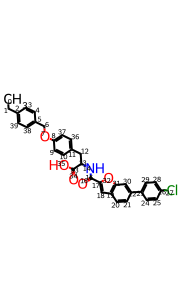 CCc1ccc(COc2ccc(CC(NC(=O)c3cc4ccc(-c5ccc(Cl)cc5)cc4o3)C(=O)O)cc2)cc1